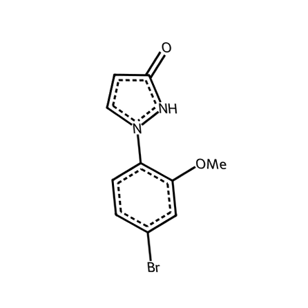 COc1cc(Br)ccc1-n1ccc(=O)[nH]1